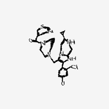 O=C(c1cscn1)N1CCN(CC2=C(c3ccc(Cl)cc3Cl)NC3CNC(C4CC4)=CN23)CC1